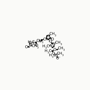 CC#N.CC(C)=O.CCOC(C)=O.CN(C)C=O.CN1CCCC1=O.CN1CCN(C)C1=O.C[S+](C)[O-]